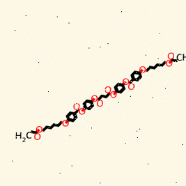 C=CC(=O)OCCCCCCOc1ccc(C(=O)Oc2ccc(OC(=O)CCC(=O)Oc3ccc(OC(=O)c4ccc(OCCCCCCOC(=O)C=C)cc4)cc3)cc2)cc1